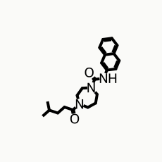 CC(C)CCC(=O)N1CCCN(C(=O)Nc2ccc3ccccc3c2)CC1